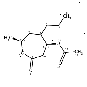 CCCC1C[C@H](C)OC(=O)C[C@@H]1OC(C)=O